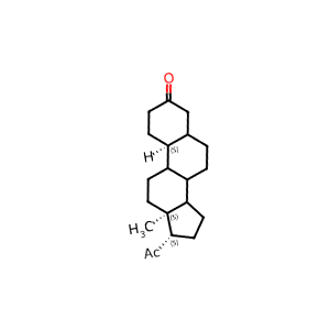 CC(=O)[C@H]1CCC2C3CCC4CC(=O)CC[C@@H]4C3CC[C@@]21C